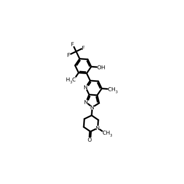 Cc1cc(C(F)(F)F)cc(O)c1-c1cc(C)c2cn(C3CCC(=O)N(C)C3)nc2n1